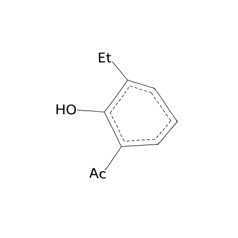 CCc1cccc(C(C)=O)c1O